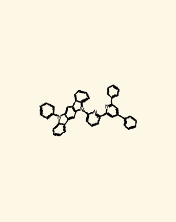 C1=CCCC(n2c3ccccc3c3cc4c(cc32)c2ccccc2n4-c2cccc(-c3cc(-c4ccccc4)cc(-c4ccccc4)n3)n2)=C1